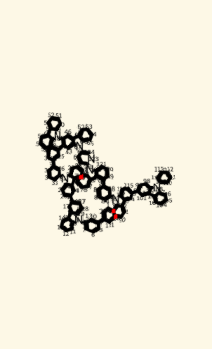 c1ccc(-c2cccc(-n3c4ccccc4c4cc(-c5ccc6c(c5)c5ccccc5n6-c5cccc(-c6cccc(-c7cc8c(cc7-n7c9ccccc9c9ccccc97)c7ccccc7n8-c7ccc(-n8c9ccccc9c9c(-c%10cccc(-n%11c%12ccccc%12c%12cc(-c%13ccc%14c(c%13)c%13ccccc%13n%14-c%13ccccc%13)ccc%12%11)c%10)cccc98)nc7)c6)c5)ccc43)c2)cc1